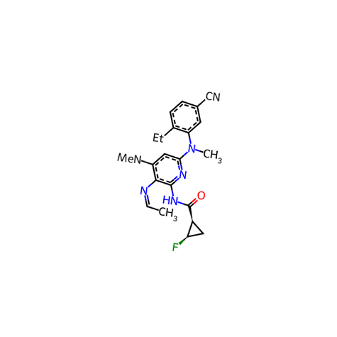 C/C=N\c1c(NC)cc(N(C)c2cc(C#N)ccc2CC)nc1NC(=O)[C@H]1C[C@H]1F